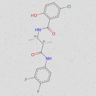 C[C@H](NC(=O)c1cc(Cl)ccc1O)[C@H](C)C(=O)Nc1ccc(F)c(F)c1